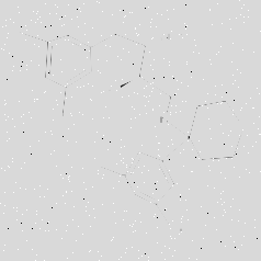 CC(=O)N[C@@H](Cc1cc(F)cc(F)c1)[C@H](O)CNC1(c2cc(Br)cc(C(C)(C)C)c2)CCOCC1